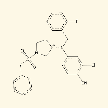 N#Cc1ccc(N(Cc2ccccc2F)[C@H]2CCN(S(=O)(=O)Cc3ccccc3)C2)cc1Cl